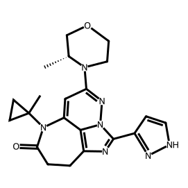 C[C@@H]1COCCN1c1cc2c3c(nc(-c4cc[nH]n4)n3n1)CCC(=O)N2C1(C)CC1